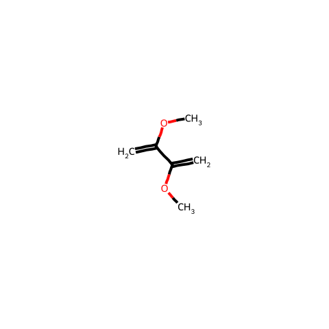 C=C(OC)C(=C)OC